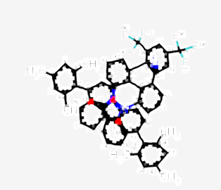 Cc1cc(C)c(-c2ccc3c(c2)c2ccccc2n3-c2cccc(C#N)c2-c2c(-c3ccc(C(F)(F)F)cc3C(F)(F)F)cccc2-n2c3ccccc3c3cc(-c4c(C)cc(C)cc4C)ccc32)c(C)c1